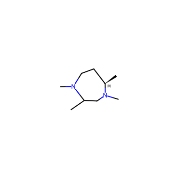 CC1CN(C)[C@H](C)CCN1C